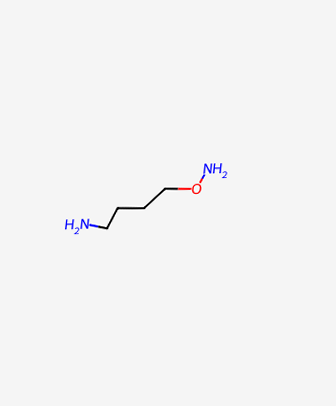 NCCCCON